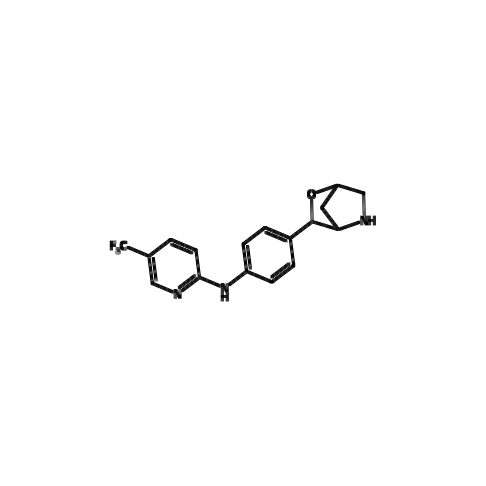 FC(F)(F)c1ccc(Nc2ccc(C3OC4CNC3C4)cc2)nc1